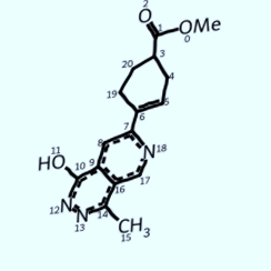 COC(=O)C1CC=C(c2cc3c(O)nnc(C)c3cn2)CC1